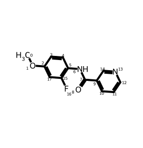 COc1ccc(NC(=O)c2cccnc2)c(F)c1